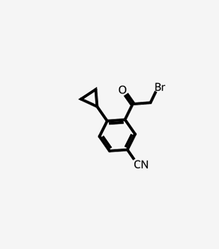 N#Cc1ccc(C2CC2)c(C(=O)CBr)c1